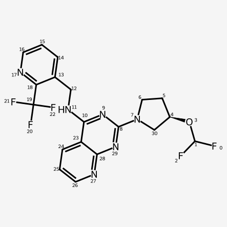 FC(F)O[C@@H]1CCN(c2nc(NCc3cccnc3C(F)(F)F)c3cccnc3n2)C1